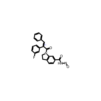 O=NNC(=O)c1ccc2c(c1)N(C(=O)/C(=C/c1ccccc1)c1cccc(F)c1)CC2